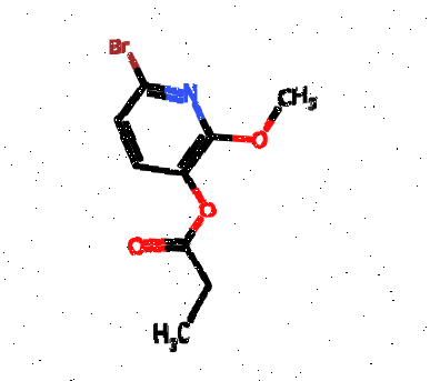 CCC(=O)Oc1ccc(Br)nc1OC